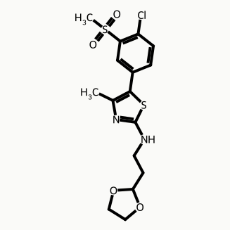 Cc1nc(NCCC2OCCO2)sc1-c1ccc(Cl)c(S(C)(=O)=O)c1